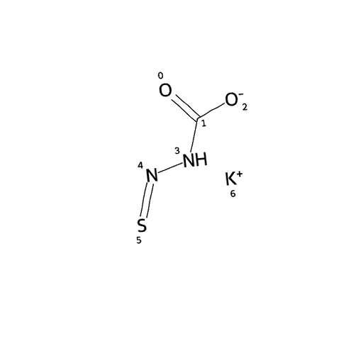 O=C([O-])NN=S.[K+]